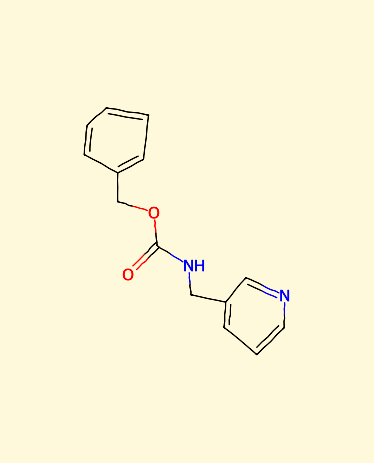 O=C(NCc1cccnc1)OCc1ccccc1